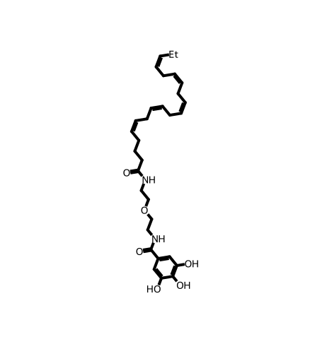 CC/C=C\C/C=C\C/C=C\C/C=C\C/C=C\CCCC(=O)NCCOCCNC(=O)c1cc(O)c(O)c(O)c1